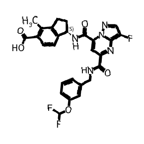 Cc1c(C(=O)O)ccc2c1CC[C@@H]2NC(=O)c1cc(C(=O)NCc2cccc(OC(F)F)c2)nc2c(F)cnn12